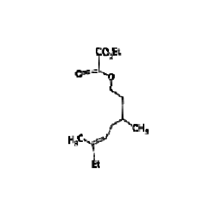 CCOC(=O)C(=O)OCCC(C)CC=C(C)CC